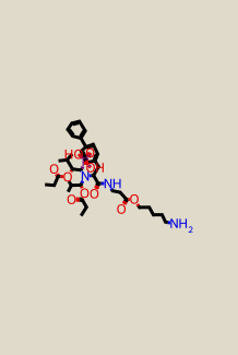 CCC(=O)OC(C(C)C)C(N(C(Cc1ccc(-c2ccccc2)cc1)C(=O)NCCC(=O)OCCCCCN)C(OC(=O)CC)C(C)C)P(=O)(O)O